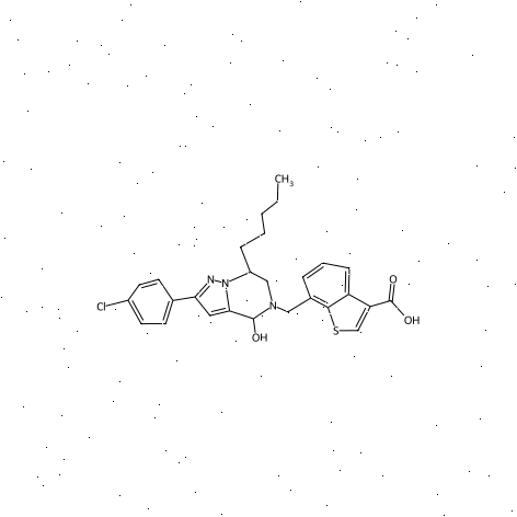 CCCCCC1CN(Cc2cccc3c(C(=O)O)csc23)C(O)c2cc(-c3ccc(Cl)cc3)nn21